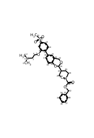 CN(C)CCOc1cc(S(C)(=O)=O)ccc1-c1ccc2c(c1)COC(C1CCN(C(=O)OCc3ccccc3)CC1)O2